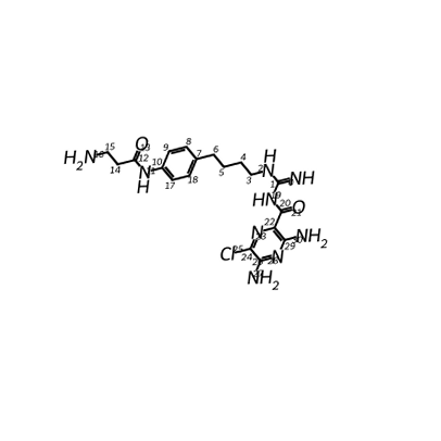 N=C(NCCCCc1ccc(NC(=O)CCN)cc1)NC(=O)c1nc(Cl)c(N)nc1N